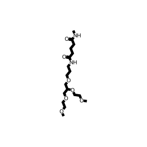 CNC(=O)CCCC(=O)NCCCOCC(COCCOC)OCCOC